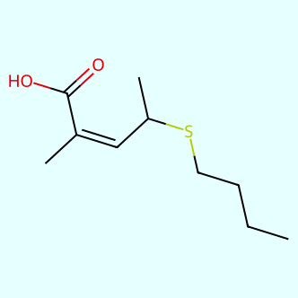 CCCCSC(C)C=C(C)C(=O)O